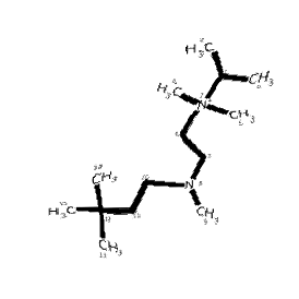 CC(C)[N+](C)(C)CCN(C)CCC(C)(C)C